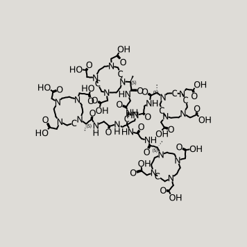 C[C@@H](C(=O)NCC(=O)NCC(CNC(=O)CNC(=O)[C@H](C)N1CCN(CC(=O)O)CCN(CC(=O)O)CCN(CC(=O)O)CC1)(CNC(=O)CNC(=O)[C@H](C)N1CCN(CC(=O)O)CCN(CC(=O)O)CCN(CC(=O)O)CC1)NC(=O)CNC(=O)[C@H](C)N1CCN(CC(=O)O)CCN(CC(=O)O)CCN(CC(=O)O)CC1)N1CCN(CC(=O)O)CCN(CC(=O)O)CCN(CC(=O)O)CC1